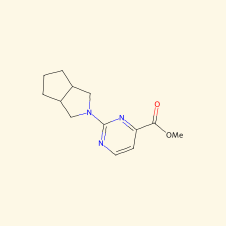 COC(=O)c1ccnc(N2CC3CCCC3C2)n1